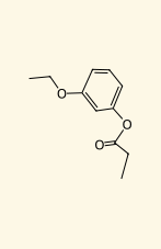 CCOc1cccc(OC(=O)CC)c1